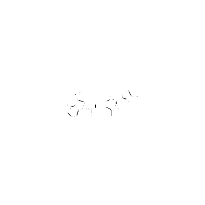 Cc1csc(-c2ncc(OC(=O)Nn3cc(C(F)(F)F)c4ncccc43)c(C)n2)n1